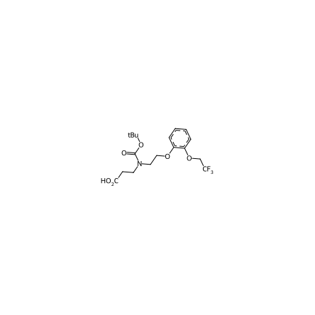 CC(C)(C)OC(=O)N(CCOc1ccccc1OCC(F)(F)F)CCC(=O)O